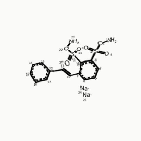 NOS(=O)(=O)c1cccc(C=Cc2ccccc2)c1S(=O)(=O)ON.[Na].[Na]